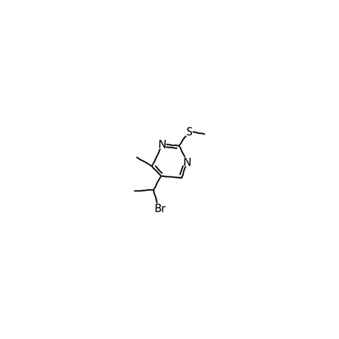 CSc1ncc(C(C)Br)c(C)n1